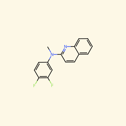 CN(c1ccc(F)c(F)c1)c1ccc2ccccc2n1